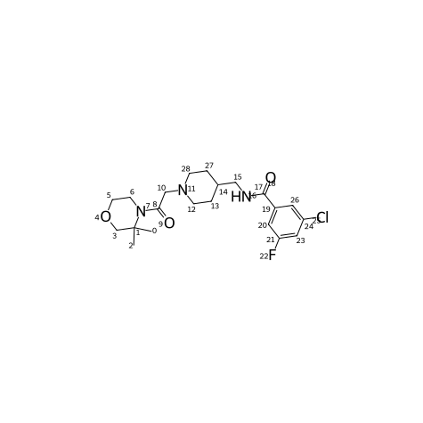 CC1(C)COCCN1C(=O)CN1CCC(CNC(=O)c2cc(F)cc(Cl)c2)CC1